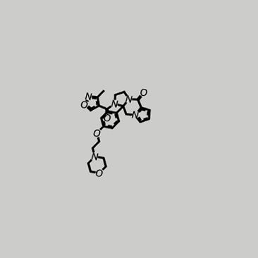 Cc1nocc1C(=O)N1CCN2C(=O)c3cccn3CC12c1ccc(OCCN2CCOCC2)cc1